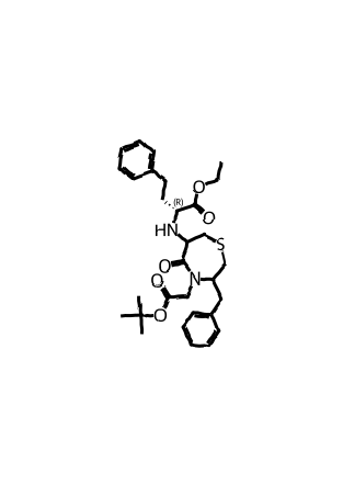 CCOC(=O)[C@@H](CCc1ccccc1)NC1CSCC(Cc2ccccc2)N(CC(=O)OC(C)(C)C)C1=O